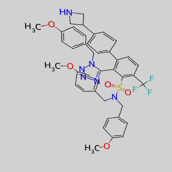 COc1ccc(CN(Cc2ccc(OC)cc2)S(=O)(=O)c2c(C(F)(F)F)ccc(-c3ccc(C4CNC4)cc3)c2-c2nnnn2Cc2ccc(OC)cc2)cc1